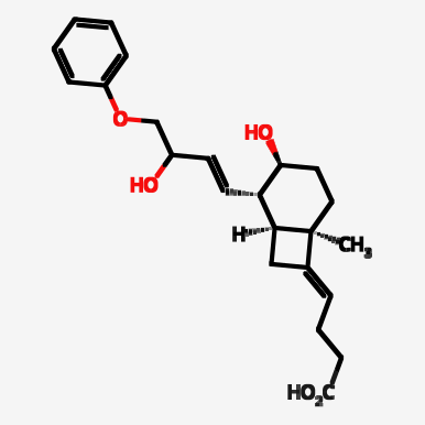 C[C@@]12CC[C@H](O)[C@@H](/C=C/C(O)COc3ccccc3)[C@@H]1CC2=CCCC(=O)O